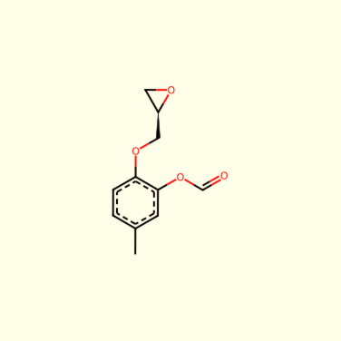 Cc1ccc(OC[C@H]2CO2)c(OC=O)c1